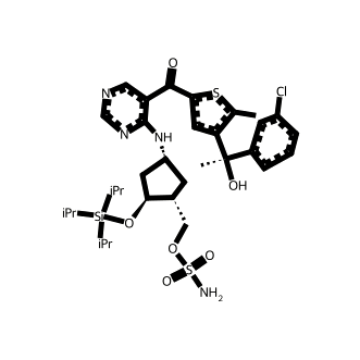 Cc1sc(C(=O)c2cncnc2N[C@@H]2C[C@H](COS(N)(=O)=O)[C@@H](O[Si](C(C)C)(C(C)C)C(C)C)C2)cc1[C@](C)(O)c1cccc(Cl)c1